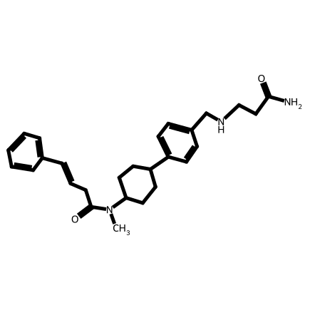 CN(C(=O)C/C=C/c1ccccc1)C1CCC(c2ccc(CNCCC(N)=O)cc2)CC1